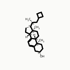 C[C@H](CC1CCC1)[C@H]1CC[C@H]2C3=CC=C4C[C@@H](O)CC[C@]4(C)[C@H]3CC[C@]12C